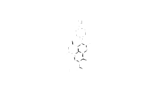 CC1CC(=O)c2c(N3CCN(N)CC3)c(F)cc3c(=O)c(C(=O)O)cn1c23